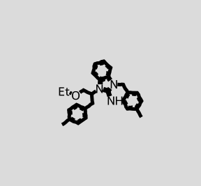 CCOCC(Cc1ccc(C)cc1)n1c(=N)n(Cc2ccc(C)cc2)c2ccccc21